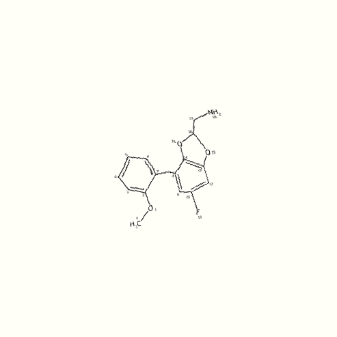 COc1ccccc1-c1cc(F)cc2c1OC(CN)O2